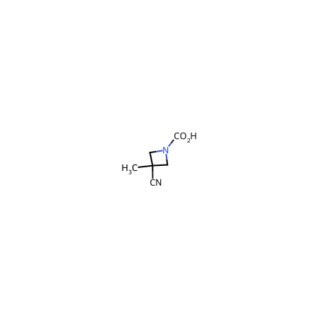 CC1(C#N)CN(C(=O)O)C1